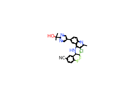 Cc1nc2ccc(-c3cnc(C(C)(C)O)nc3)cc2c(NC(c2cc(C#N)ccc2F)C(F)F)c1Cl